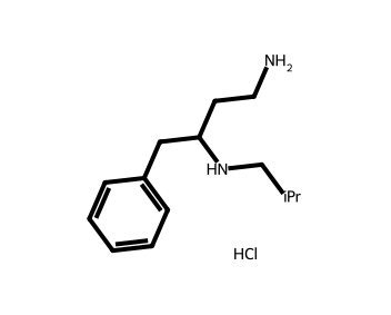 CC(C)CNC(CCN)Cc1ccccc1.Cl